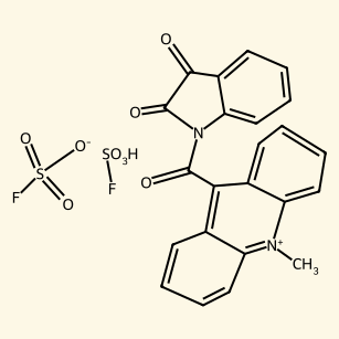 C[n+]1c2ccccc2c(C(=O)N2C(=O)C(=O)c3ccccc32)c2ccccc21.O=S(=O)(O)F.O=S(=O)([O-])F